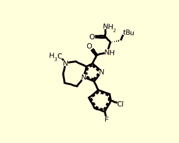 CN1CCCn2c(-c3ccc(F)c(Cl)c3)nc(C(=O)N[C@@H](CC(C)(C)C)C(N)=O)c2C1